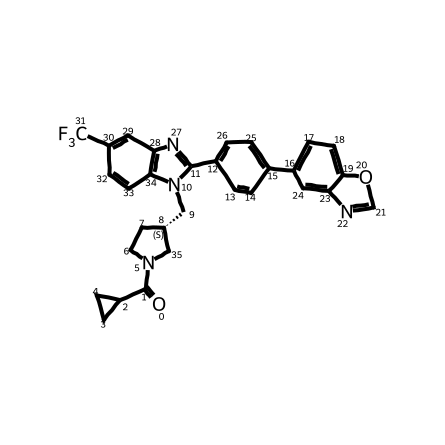 O=C(C1CC1)N1CC[C@H](Cn2c(-c3ccc(-c4ccc5ocnc5c4)cc3)nc3cc(C(F)(F)F)ccc32)C1